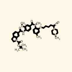 COc1cc(C(=O)N(C)c2ccc(C)cc2OCCCCC(=C=O)N2CCN(C)CC2)ccc1NC(=O)c1ccc2c(c1)N(C(=O)OC(C)(C)C)CC2